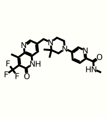 CNC(=O)c1ccc(N2CCN(Cc3cnc4c(C)c(C(F)(F)F)c(=O)[nH]c4c3)C(C)(C)C2)cn1